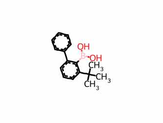 CC(C)(C)c1cccc(-c2ccccc2)c1B(O)O